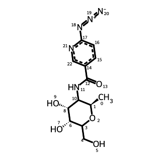 C[C@H]1OC(CO)[C@H](O)[C@H](O)C1NC(=O)c1ccc(N=[N+]=[N-])nc1